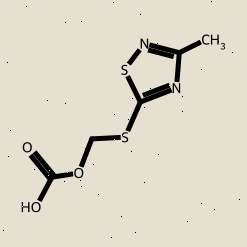 Cc1nsc(SCOC(=O)O)n1